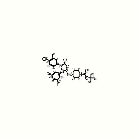 Cc1cc(N2C(=O)O[C@@H](CN3CCN(C(=O)OC(C)(C)C)CC3)[C@@H]2c2cc(F)cc(F)c2)ccc1Cl